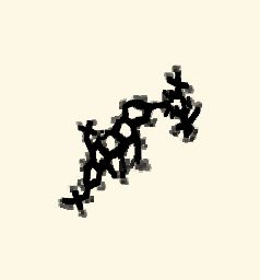 Cc1c2c(c(CC(C)(C)C)c3ccc(CC(C)(C)C)cc13)Oc1cc3ccc(-c4nc(C(C)(C)C)nc(C(C)(C)C)n4)cc3c3cc[n+](C)c-2c13